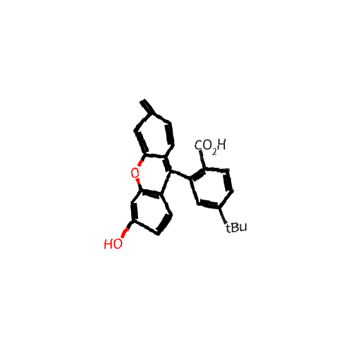 C=c1ccc2c(c1)Oc1cc(O)ccc1C=2c1cc(C(C)(C)C)ccc1C(=O)O